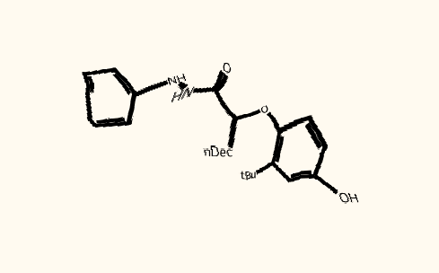 CCCCCCCCCCC(Oc1ccc(O)cc1C(C)(C)C)C(=O)NNc1ccccc1